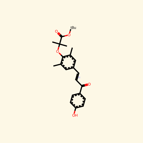 Cc1cc(/C=C/C(=O)c2ccc(O)cc2)cc(C)c1OC(C)(C)C(=O)OC(C)(C)C